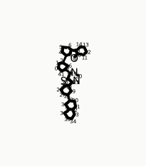 c1cc(-c2cccc3c2oc2ccccc23)cc(-c2ncnc3c2sc2ccc(-c4ccc5ccccc5c4)cc23)c1